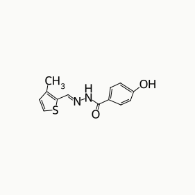 Cc1ccsc1C=NNC(=O)c1ccc(O)cc1